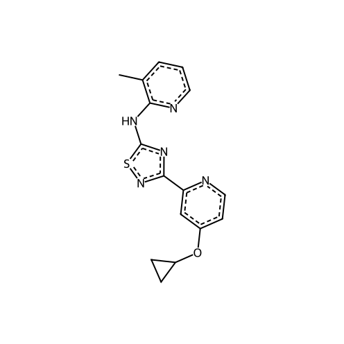 Cc1cccnc1Nc1nc(-c2cc(OC3CC3)ccn2)ns1